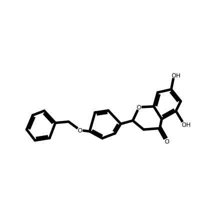 O=C1CC(c2ccc(OCc3ccccc3)cc2)Oc2cc(O)cc(O)c21